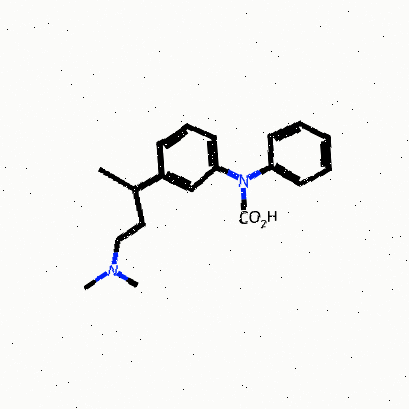 CC(CCN(C)C)c1cccc(N(C(=O)O)c2ccccc2)c1